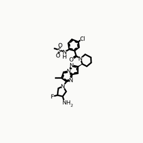 Cc1cn2nc([C@@H]3CCCCN3C(=O)c3cc(Cl)ccc3NS(C)(=O)=O)cc2nc1N1CC(N)C(F)C1